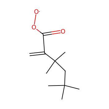 C=C(C(=O)O[O])C(C)(C)CC(C)(C)C